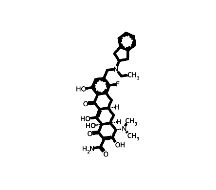 CCN(Cc1cc(O)c2c(c1F)C[C@H]1C[C@H]3[C@H](N(C)C)C(O)=C(C(N)=O)C(=O)[C@@]3(O)C(O)=C1C2=O)C1Cc2ccccc2C1